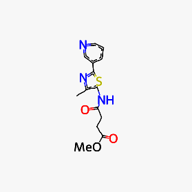 COC(=O)CCC(=O)Nc1sc(-c2cccnc2)nc1C